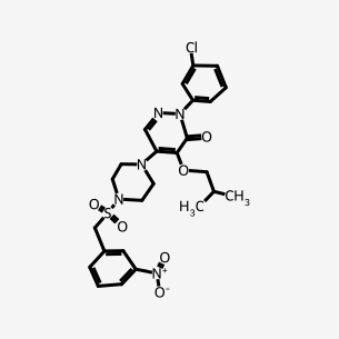 CC(C)COc1c(N2CCN(S(=O)(=O)Cc3cccc([N+](=O)[O-])c3)CC2)cnn(-c2cccc(Cl)c2)c1=O